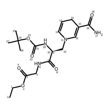 CCOC(=O)CNC(=O)[C@H](CN1C=CCC(C(N)=O)=C1)NC(=O)OC(C)(C)C